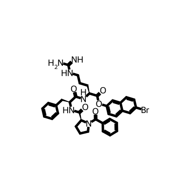 N=C(N)NCCC[C@H](NC(=O)[C@H](Cc1ccccc1)NC(=O)[C@@H]1CCCN1C(=O)c1ccccc1)C(=O)Oc1ccc2cc(Br)ccc2c1